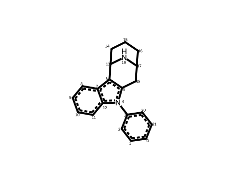 c1ccc(-n2c3c(c4ccccc42)C2CCCC(C3)N2)cc1